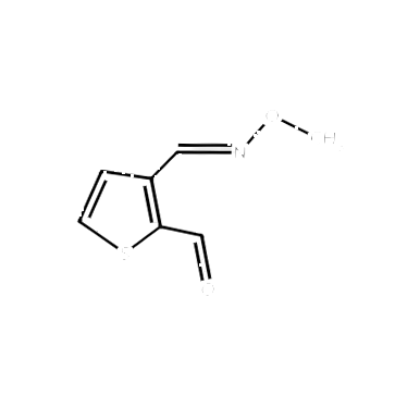 CON=Cc1ccsc1C=O